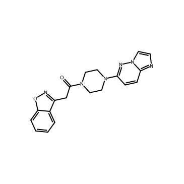 O=C(Cc1noc2ccccc12)N1CCN(c2ccc3nccn3n2)CC1